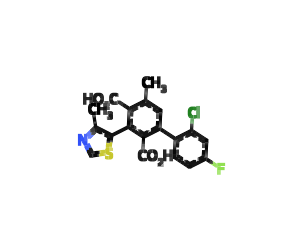 Cc1cc(-c2ccc(F)cc2Cl)c(C(=O)O)c(-c2scnc2C)c1C(=O)O